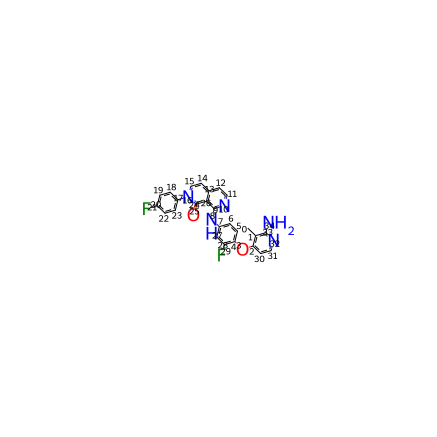 Cc1c(Oc2ccc(Nc3nccc4ccn(-c5ccc(F)cc5)c(=O)c34)cc2F)ccnc1N